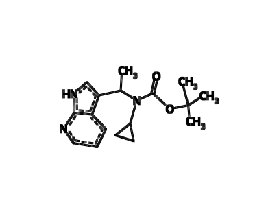 CC(c1c[nH]c2ncccc12)N(C(=O)OC(C)(C)C)C1CC1